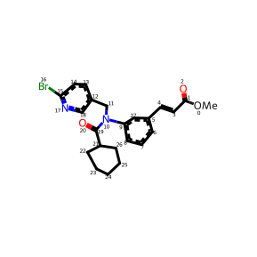 COC(=O)/C=C/c1cccc(N(Cc2ccc(Br)nc2)C(=O)C2CCCCC2)c1